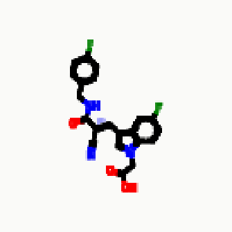 N#C/C(=C\c1cn(CC(=O)O)c2ccc(F)cc12)C(=O)NCc1ccc(F)cc1